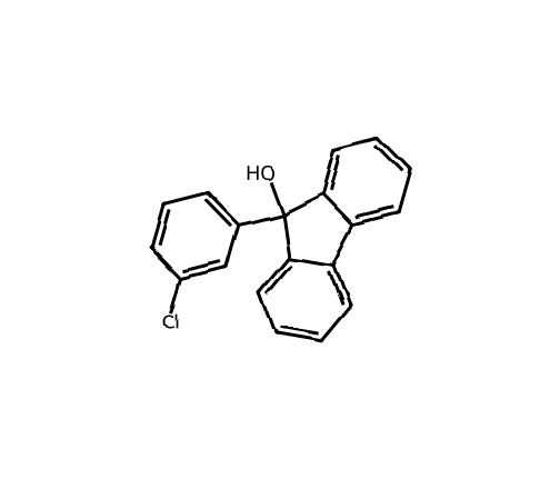 OC1(c2cccc(Cl)c2)c2ccccc2-c2ccccc21